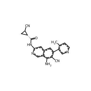 Cc1ccncc1-c1cc2cc(NC(=O)[C@@H]3CC3C#N)ncc2c(N)c1C#N